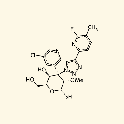 CO[C@@H]1[C@H](S)O[C@@H](CO)[C@@H](O)[C@@]1(c1cncc(Cl)c1)n1cc(-c2ccc(C)c(F)n2)nn1